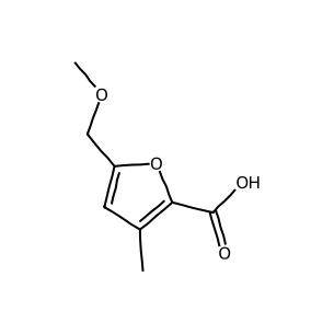 COCc1cc(C)c(C(=O)O)o1